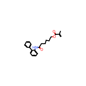 C=C(C)C(=O)OCCCCCC(=O)Nc1ccccc1-c1ccccc1